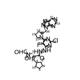 O=CN(O)C[C@@H](CC1CCCC1)C(=O)NNc1nc(Cl)nc(N2CCC[C@H]2Cn2nnc3cncnc32)c1F